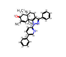 C[C@H]1C(=O)C(C#N)=CC2(C)c3c(c(-c4ccccc4)nn3-c3ccc(-c4ccccc4)cn3)CC[C@H]12